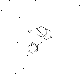 [Cl-].c1ccc(C[N+]23CN4CN(CN(C4)C2)C3)nc1